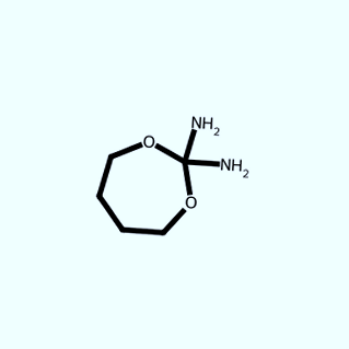 NC1(N)OCCCCO1